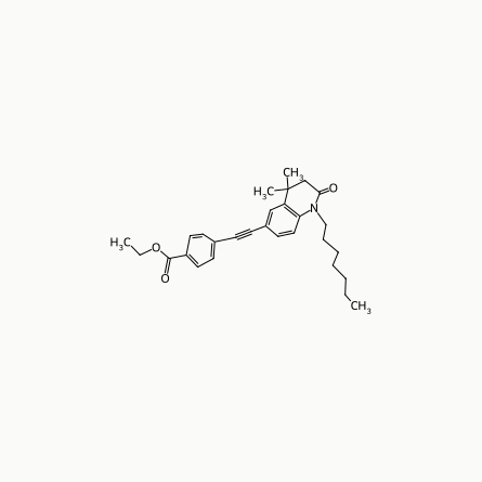 CCCCCCCN1C(=O)CC(C)(C)c2cc(C#Cc3ccc(C(=O)OCC)cc3)ccc21